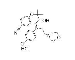 CC1(C)Oc2ccc(C#N)cc2[C@H](N(CCN2CCOCC2)c2ccc(Cl)cc2)[C@H]1O.Cl